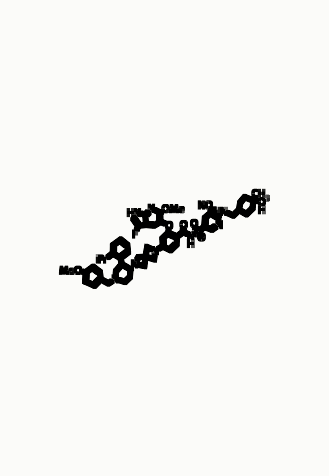 COc1ccc(CN2CCC(N3CC4(CN(c5ccc(C(=O)NS(=O)(=O)c6cnc(NCC7CCC(C)(O)CC7)c([N+](=O)[O-])c6)c(Oc6cc7c(F)c[nH]c7nc6OC)c5)C4)C3)C(c3ccccc3C(C)C)C2)cc1